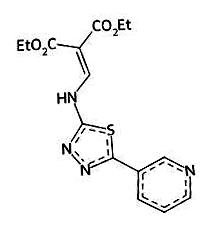 CCOC(=O)C(=CNc1nnc(-c2cccnc2)s1)C(=O)OCC